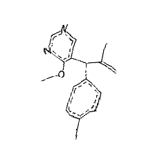 C=C(C)C(c1ccc(C)cc1)c1cncnc1OC